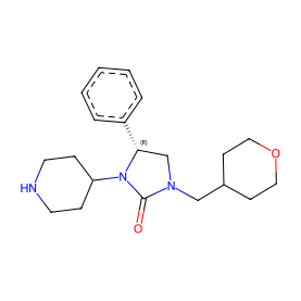 O=C1N(CC2CCOCC2)C[C@@H](c2ccccc2)N1C1CCNCC1